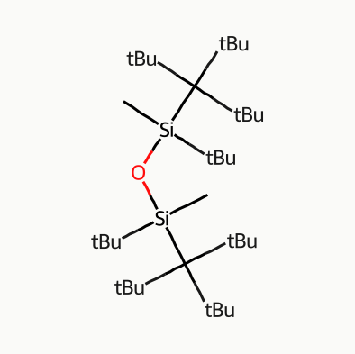 CC(C)(C)C(C(C)(C)C)(C(C)(C)C)[Si](C)(O[Si](C)(C(C)(C)C)C(C(C)(C)C)(C(C)(C)C)C(C)(C)C)C(C)(C)C